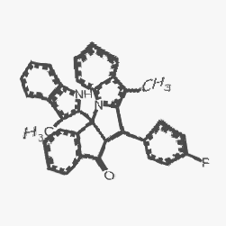 Cc1c(C23c4ccccc4C(=O)C2C(c2ccc(F)cc2)c2c(C)c4ccccc4n23)[nH]c2ccccc12